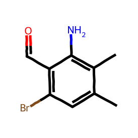 Cc1cc(Br)c(C=O)c(N)c1C